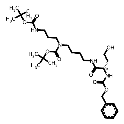 CC(C)(C)OC(=O)NCCCN(CCCCNC(=O)[C@H](CCO)NC(=O)OCc1ccccc1)C(=O)OC(C)(C)C